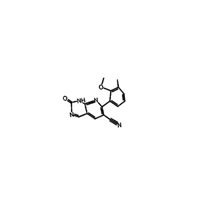 COc1c(C)cccc1-c1nc2[nH]c(=O)ncc2cc1C#N